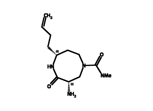 C=CCC[C@@H]1CCN(C(=O)NC)C[C@H](N)C(=O)N1